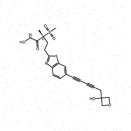 C[C@@](CCc1nc2ccc(C#CC#CCC3(O)COC3)cc2s1)(C(=O)NO)S(C)(=O)=O